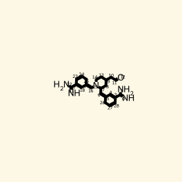 N=C(N)C1=C/C(=C\C2CC(CC=O)CCN2/C=C2/C=C(C(=N)N)C=CC2)CC=C1